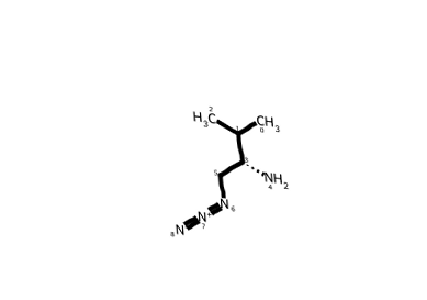 CC(C)[C@H](N)CN=[N+]=[N-]